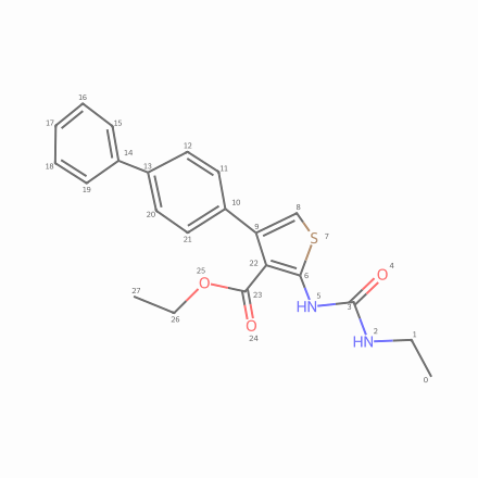 CCNC(=O)Nc1scc(-c2ccc(-c3ccccc3)cc2)c1C(=O)OCC